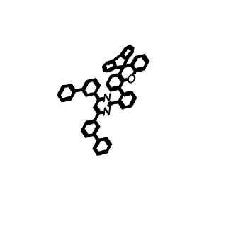 C1=CC(c2cc(-c3cccc(-c4ccccc4)c3)nc(-c3ccccc3C3=CCCC4=C3Oc3ccccc3C43c4ccccc4-c4ccccc43)n2)CC(c2ccccc2)=C1